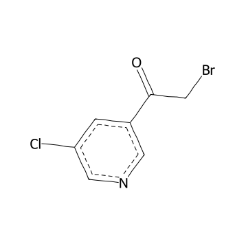 O=C(CBr)c1cncc(Cl)c1